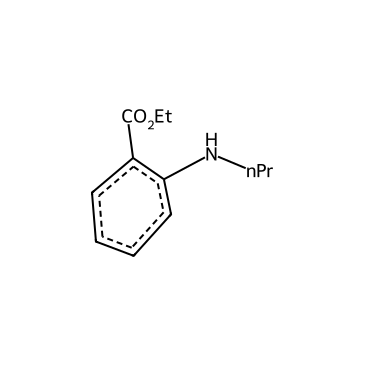 CCCNc1ccccc1C(=O)OCC